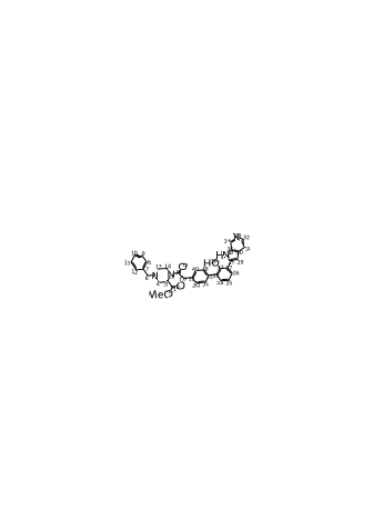 COC(=O)C1CN(Cc2ccccc2)CCN1C(=O)Cc1ccc(-c2cccc(-c3cc4ccncc4[nH]3)c2O)cc1